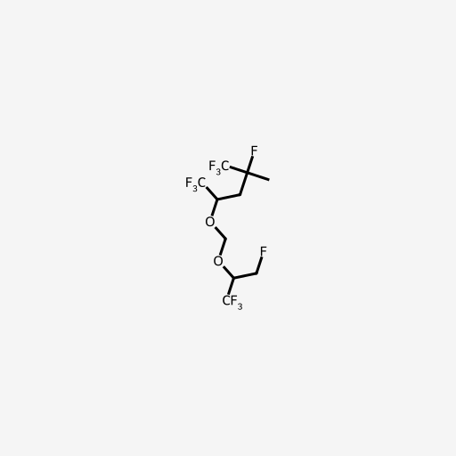 CC(F)(CC(OCOC(CF)C(F)(F)F)C(F)(F)F)C(F)(F)F